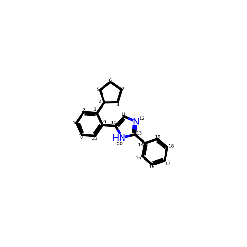 [c]1ccc(C2CCCC2)c(-c2cnc(-c3ccccc3)[nH]2)c1